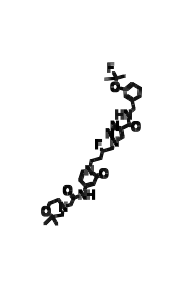 CC(C)(F)Oc1cccc(CNC(=O)c2cn(CC(F)CCn3ccc(NC(=O)CN4CCOC(C)(C)C4)cc3=O)nn2)c1